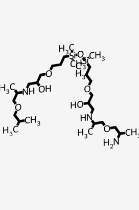 CC(C)COCC(C)NCC(O)COCCC[Si](C)(C)O[Si](C)(C)CCCOCC(O)CNC(C)COCC(C)N